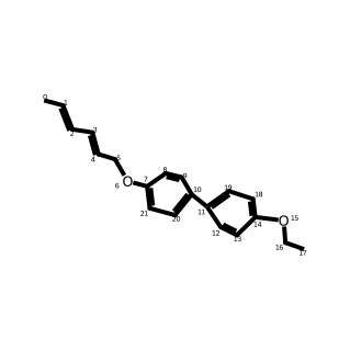 CC=CC=CCOc1ccc(-c2ccc(OCC)cc2)cc1